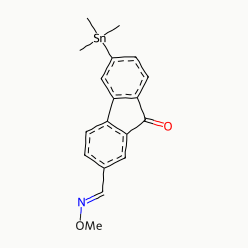 CON=Cc1ccc2c(c1)C(=O)c1cc[c]([Sn]([CH3])([CH3])[CH3])cc1-2